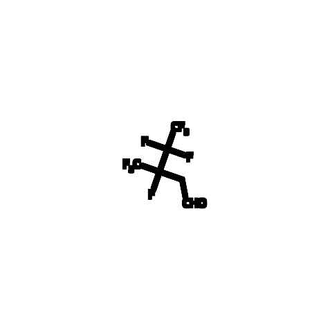 O=CCC(F)(C(F)(F)F)C(F)(F)C(F)(F)F